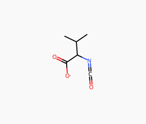 CC(C)C(N=C=O)C([O])=O